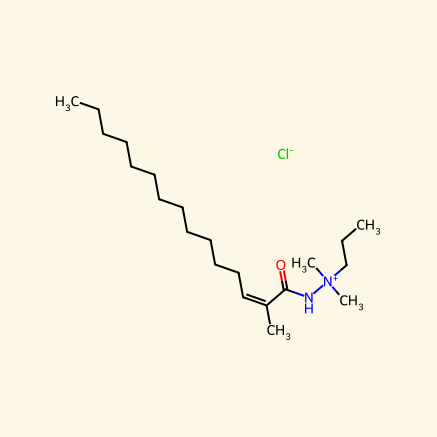 CCCCCCCCCCCCC=C(C)C(=O)N[N+](C)(C)CCC.[Cl-]